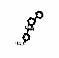 O=C(O)c1ccc(-c2nc3cc(-c4ccccc4)ccc3o2)cc1